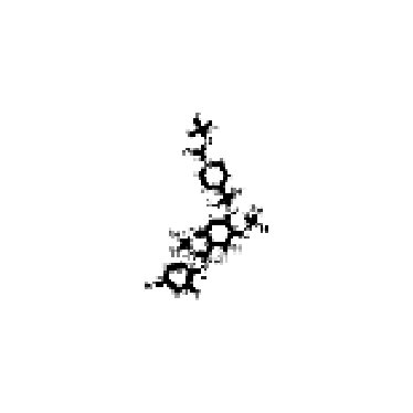 [2H]C1([2H])N=C2C=C(OC([2H])([2H])C3CCN(C(=O)OC(C)(C)C)CC3)C(OC([2H])([2H])[2H])C([2H])([2H])C2C([2H])(Nc2ccc(Br)cc2F)N1